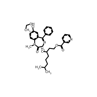 CC(C)CCCC(C)CCOC(=O)c1cccnc1.CCO.CN1C(=O)CN=C(c2ccccc2)c2cc(Cl)ccc21